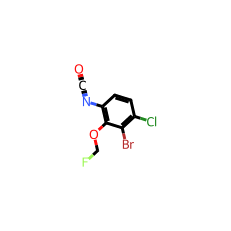 O=C=Nc1ccc(Cl)c(Br)c1OCF